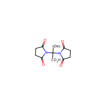 CCCCCCCCCCC(C(=O)O)(N1C(=O)CCC1=O)N1C(=O)CCC1=O